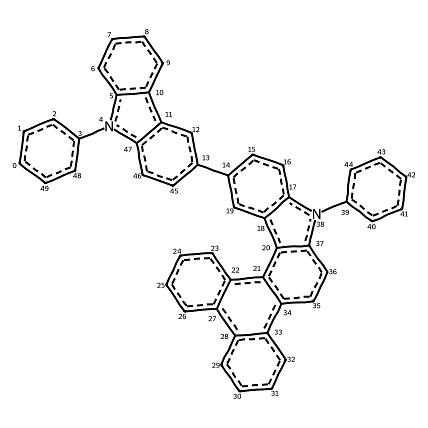 c1ccc(-n2c3ccccc3c3cc(-c4ccc5c(c4)c4c6c7ccccc7c7ccccc7c6ccc4n5-c4ccccc4)ccc32)cc1